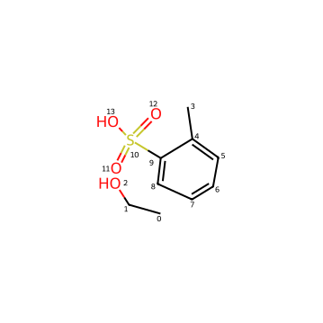 CCO.Cc1ccccc1S(=O)(=O)O